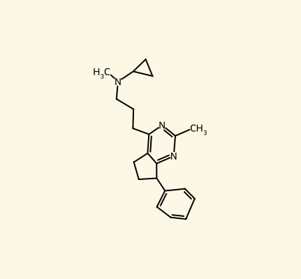 Cc1nc(CCCN(C)C2CC2)c2c(n1)C(c1ccccc1)CC2